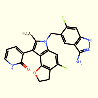 Nc1n[nH]c2cc(F)c(Cn3c(C(=O)O)c(-c4ccc[nH]c4=O)c4c5c(c(F)cc43)CCO5)cc12